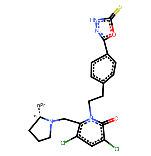 CCC[C@H]1CCCN1Cc1c(Cl)cc(Cl)c(=O)n1CCc1ccc(-c2n[nH]c(=S)o2)cc1